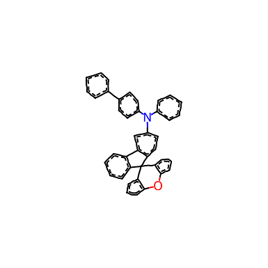 c1ccc(-c2ccc(N(c3ccccc3)c3ccc4c(c3)-c3ccccc3C43c4ccccc4Oc4ccccc43)cc2)cc1